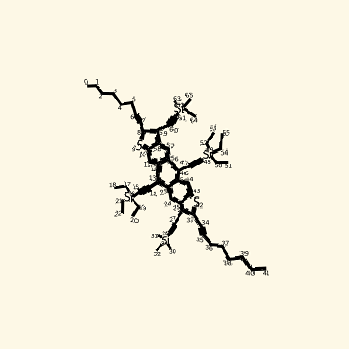 CCCCCCC#Cc1sc2cc3c(C#C[Si](CC)(CC)CC)c4cc5c(C#C[Si](C)(C)C)c(C#CCCCCCC)sc5cc4c(C#C[Si](CC)(CC)CC)c3cc2c1C#C[Si](C)(C)C